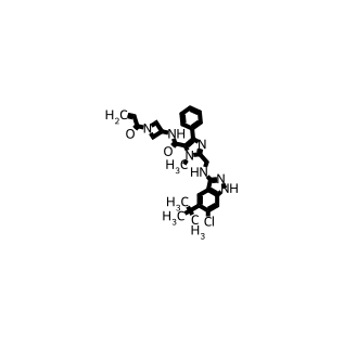 C=CC(=O)N1CC(NC(=O)c2c(-c3ccccc3)nc(CNc3n[nH]c4cc(Cl)c(C(C)(C)C)cc34)n2C)C1